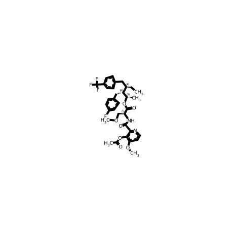 CC[C@H](Cc1ccc(C(F)(F)F)cc1)[C@@H](Cc1ccc(F)cc1)[C@H](C)OC(=O)[C@H](COC)NC(=O)c1nccc(OC)c1OC(C)=O